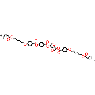 C=CC(=O)OCCCCCCOc1ccc(C(=O)Oc2ccc(C(=O)O[C@H]3COC4C3OC[C@@H]4OC(=O)c3ccc(OCCCCCCOC(=O)C=C)cc3)cc2)cc1